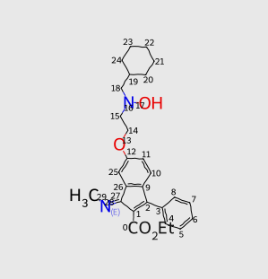 CCOC(=O)C1=C(c2ccccc2)c2ccc(OCCN(O)CC3CCCCC3)cc2/C1=N\C